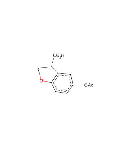 CC(=O)Oc1ccc2c(c1)C(C(=O)O)CO2